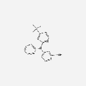 CC(C)(C)c1ccnc(N(c2ccccc2)c2cccc(O)c2)c1